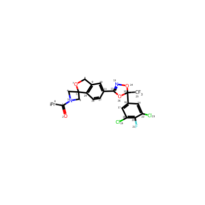 CC(C)C(=O)N1CC2(C1)OCc1cc(C3=NOC(c4cc(Cl)c(F)c(Cl)c4)(C(F)(F)F)O3)ccc12